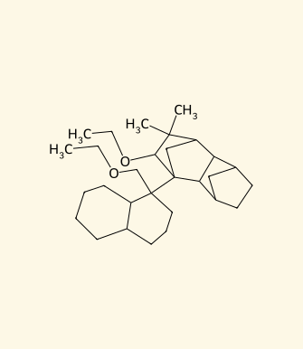 CCOCC1(C23CC(C4C5CCC(C5)C42)C(C)(C)C3OCC)CCCC2CCCCC21